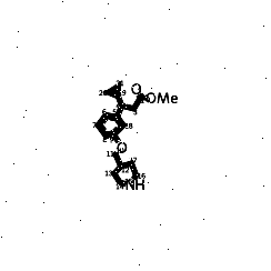 COC(=O)CC(c1cccc(OCC2CCNCC2)c1)C1CC1